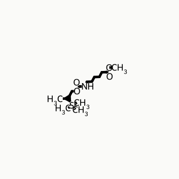 COC(=O)CCCCCNC(=O)OCC1C(C)=C1[Si](C)(C)C